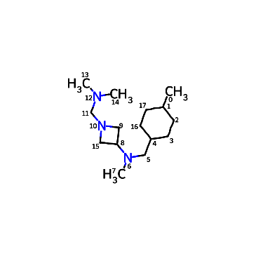 CC1CCC(CN(C)C2CN(CN(C)C)C2)CC1